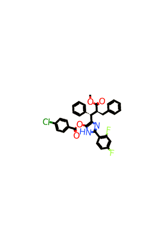 COC(=O)[C@@H](Cc1ccccc1)[C@@H](c1ccccc1)c1nc(-c2ccc(F)cc2F)[nH]c1OC(=O)c1ccc(Cl)cc1